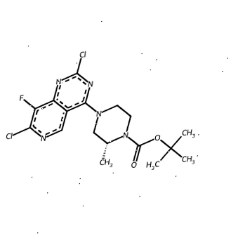 C[C@@H]1CN(c2nc(Cl)nc3c(F)c(Cl)ncc23)CCN1C(=O)OC(C)(C)C